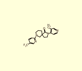 Cc1cnccc1N1CCC2(CCCN(c3ccc(C(F)(F)F)cn3)C2)C1=O